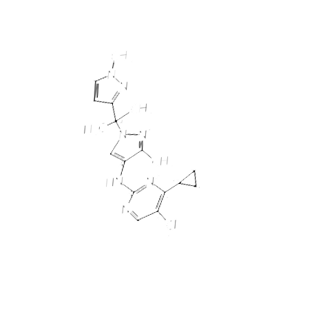 Cc1nn(C(C)(C)c2ccn(C)n2)cc1Nc1ncc(Cl)c(C2CC2)n1